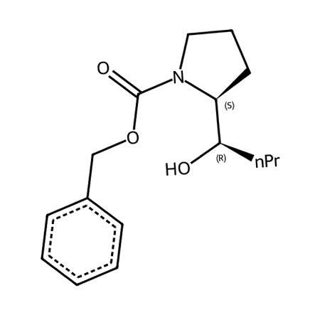 CCC[C@@H](O)[C@@H]1CCCN1C(=O)OCc1ccccc1